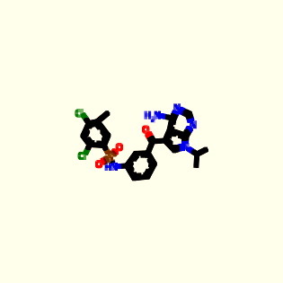 Cc1cc(S(=O)(=O)Nc2cccc(C(=O)c3cn(C(C)C)c4ncnc(N)c34)c2)c(Cl)cc1Cl